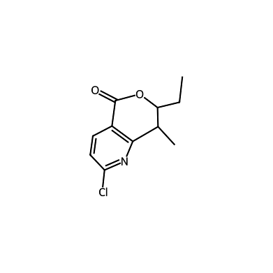 CCC1OC(=O)c2ccc(Cl)nc2C1C